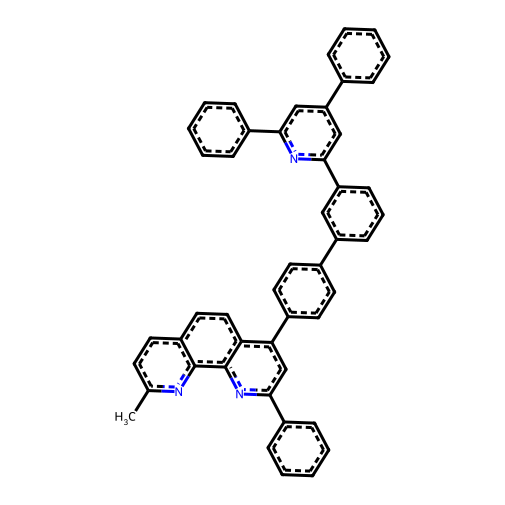 Cc1ccc2ccc3c(-c4ccc(-c5cccc(-c6cc(-c7ccccc7)cc(-c7ccccc7)n6)c5)cc4)cc(-c4ccccc4)nc3c2n1